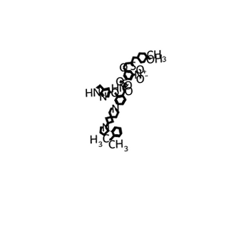 CC(C)c1ccccc1[C@@H]1CCCN1C1CC2(CCN(c3ccc(C(=O)NS(=O)(=O)c4cc5c(c([N+](=O)[O-])c4)SC(CC4CCC(C)(O)CC4)CO5)c(Oc4cnc5[nH]ccc5c4)c3)CC2)C1